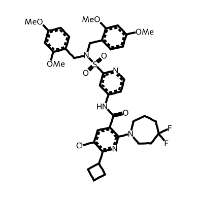 COc1ccc(CN(Cc2ccc(OC)cc2OC)S(=O)(=O)c2cc(NC(=O)c3cc(Cl)c(C4CCC4)nc3N3CCCC(F)(F)CC3)ccn2)c(OC)c1